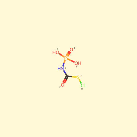 O=C(NP(=O)(O)O)SCl